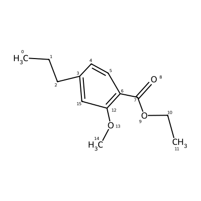 CCCc1ccc(C(=O)OCC)c(OC)c1